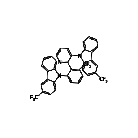 FC(F)(F)c1ccc2c(c1)c1ccccc1n2-c1cccnc1-c1c(-n2c3ccccc3c3cc(C(F)(F)F)ccc32)cccc1C(F)(F)F